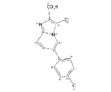 O=C(O)c1nc2ccc(-c3ccc(Cl)cc3)cn2c1Cl